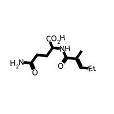 CC/C=C(\C)C(=O)NC(CCC(N)=O)C(=O)O